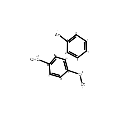 CC(=O)c1ccccc1.CCOc1ccc(C=O)cc1